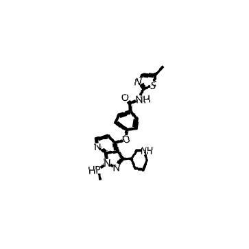 CPn1nc(C2CCCNC2)c2c(Oc3ccc(C(=O)Nc4ncc(C)s4)cc3)ccnc21